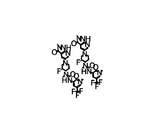 CN(C(=O)Nc1cc(C(F)(F)F)cn(C)c1=O)[C@@H]1CCN(c2cnc3[nH]n(C)c(=O)c3c2)C[C@H]1F.CN(C(=O)Nc1cc(C(F)(F)F)cn(C)c1=O)[C@H]1CCN(c2cnc3[nH]n(C)c(=O)c3c2)C[C@H]1F